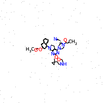 C=CC(=O)N1CCN(c2nc(OCC3(C4CNCCO4)CC3)nc3c2CCN(c2cc(OCOC)cc4ccccc24)C3)C[C@@H]1CC#N